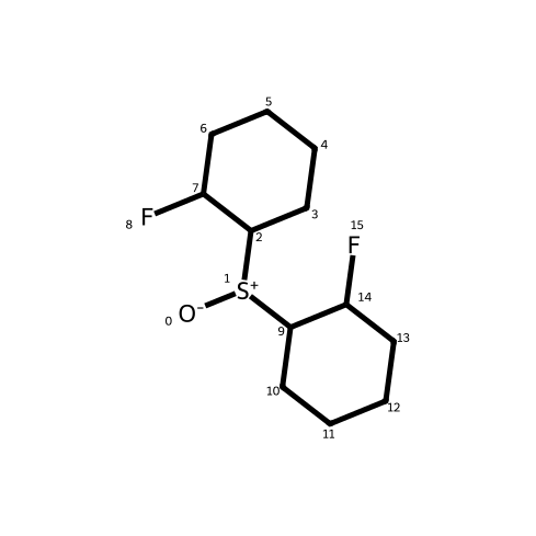 [O-][S+](C1CCCCC1F)C1CCCCC1F